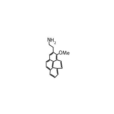 COc1c(CCN)cc2ccc3cccc4ccc1c2c34